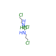 Cl.Cl.ClCCCNCCNCCCCl